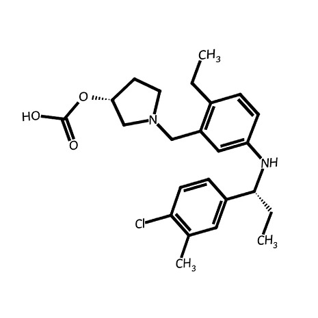 CCc1ccc(N[C@H](CC)c2ccc(Cl)c(C)c2)cc1CN1CC[C@@H](OC(=O)O)C1